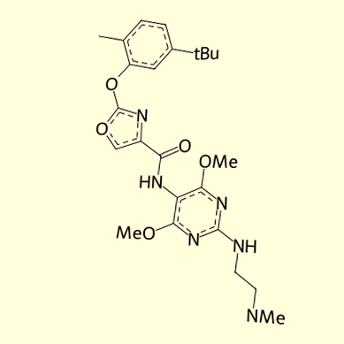 CNCCNc1nc(OC)c(NC(=O)c2coc(Oc3cc(C(C)(C)C)ccc3C)n2)c(OC)n1